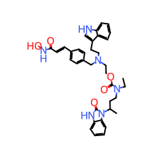 CCN(CCC(C)n1c(=O)[nH]c2ccccc21)C(=O)OCCN(CCc1c[nH]c2ccccc12)Cc1ccc(/C=C/C(=O)NO)cc1